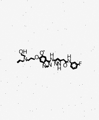 C=CCN(CCO)CCCOc1cc2ncnc(Nc3cc(CC(=O)Nc4cccc(F)c4)[nH]n3)c2cc1OC